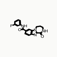 O=C(Nc1cccc(F)c1)c1ccc2nc3n(c2c1)CCCNC3=O